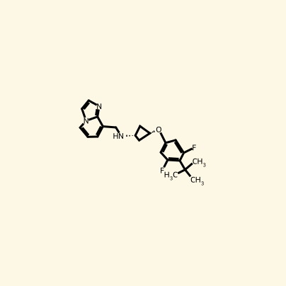 CC(C)(C)c1c(F)cc(O[C@H]2C[C@@H](NCc3cccn4ccnc34)C2)cc1F